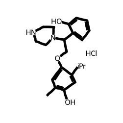 Cc1cc(OCC(c2ccccc2O)N2CCNCC2)c(C(C)C)cc1O.Cl